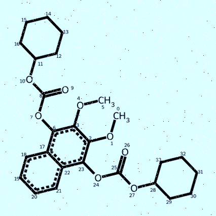 COc1c(OC)c(OC(=O)OC2CCCCC2)c2ccccc2c1OC(=O)OC1CCCCC1